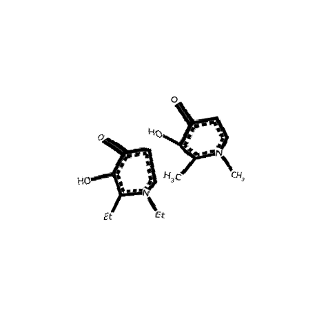 CCc1c(O)c(=O)ccn1CC.Cc1c(O)c(=O)ccn1C